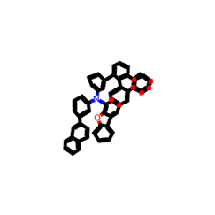 c1ccc(-c2ccccc2-c2c(-c3ccccc3)cccc2-c2cccc(N(c3cccc(-c4ccc5ccccc5c4)c3)c3cccc4c3oc3ccccc34)c2)cc1